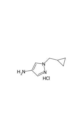 Cl.Nc1cnn(CC2CC2)c1